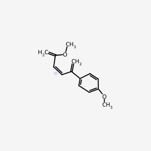 C=C(/C=C\C(=C)c1ccc(OC)cc1)OC